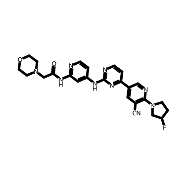 N#Cc1cc(-c2ccnc(Nc3ccnc(NC(=O)CN4CCOCC4)c3)n2)cnc1N1CCC(F)C1